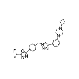 FC(F)c1nnc(-c2ccc(Cn3cc(-c4cccc(N5CCN(C6CCC6)CC5)c4)nn3)cc2)o1